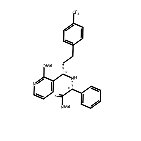 CNC(=O)[C@H](N[C@@H](CCc1ccc(C(F)(F)F)cc1)c1cccnc1OC)c1ccccc1